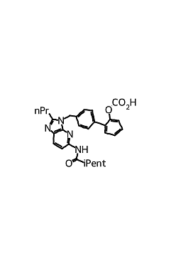 CCCc1nc2ccc(NC(=O)C(C)CCC)nc2n1Cc1ccc(-c2ccccc2OC(=O)O)cc1